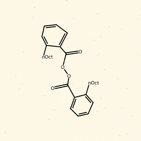 CCCCCCCCc1ccccc1C(=O)OOC(=O)c1ccccc1CCCCCCCC